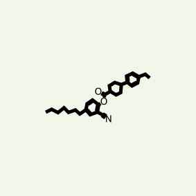 CCCCCCCc1ccc(OC(=O)C2CCC(c3ccc(CC)cc3)CC2)c(C#N)c1